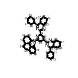 c1ccc(-c2nc(-c3cc(-c4nc(-c5ccccc5)c5ccccc5n4)nc(-n4c5cccc6ccc7cccc4c7c65)c3)nc3ccccc23)cc1